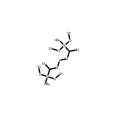 CCCC[Si](OCC)(OCC)C(CC)SSSC(CC)[Si](CCCC)(OCC)OCC